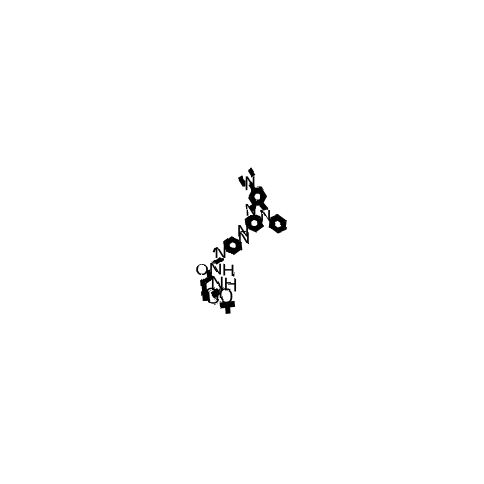 C#CCC(NC(=O)OC(C)(C)C)C(=O)NCCN(C)c1ccc(/N=N/c2ccc3c(c2)N=c2cc(N(CC)CC)ccc2=CN3c2ccccc2)cc1